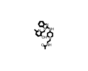 CC(=O)NCCN1CCC(Nc2nc3ccccc3n2Cc2nc(C)ccc2O)CC1